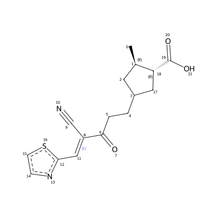 C[C@@H]1CC(CCC(=O)/C(C#N)=C/c2nccs2)C[C@H]1C(=O)O